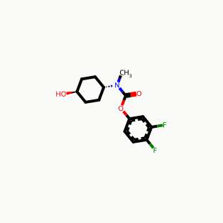 CN(C(=O)Oc1ccc(F)c(F)c1)[C@H]1CC[C@H](O)CC1